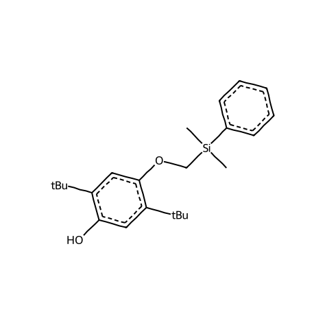 CC(C)(C)c1cc(OC[Si](C)(C)c2ccccc2)c(C(C)(C)C)cc1O